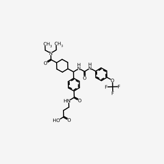 CCN(CC)C(=O)C1CCC(C(NC(=O)Nc2ccc(OC(F)(F)F)cc2)c2ccc(C(=O)NCCC(=O)O)cc2)CC1